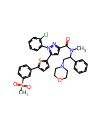 CN(C(=O)c1cc(-c2ccc(-c3cccc(S(C)(=O)=O)c3)s2)n(-c2ccccc2Cl)n1)C(CN1CCOCC1)c1ccccc1